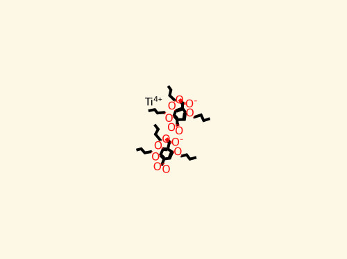 CCCCOc1cc(C(=O)[O-])c(OCCCC)c(OCCCC)c1C(=O)[O-].CCCCOc1cc(C(=O)[O-])c(OCCCC)c(OCCCC)c1C(=O)[O-].[Ti+4]